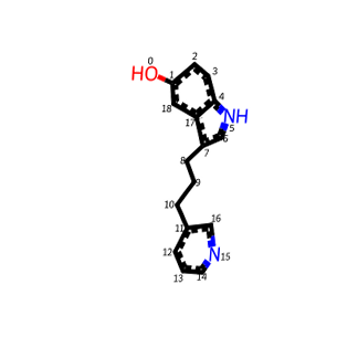 Oc1ccc2[nH]cc(CCCc3cccnc3)c2c1